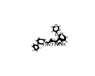 O=CC1(N2CCC[C@H](c3ccccc3)C2)CC1c1n[nH]c2ccnc(OC3CCOCC3)c12